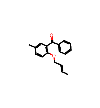 C/C=C/COc1ccc(C)cc1C(=O)c1ccccc1